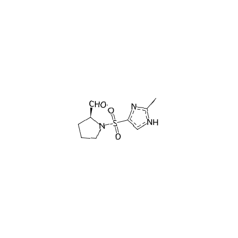 Cc1nc(S(=O)(=O)N2CCC[C@H]2[C]=O)c[nH]1